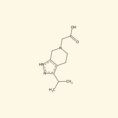 CC(C)c1n[nH]c2c1CCN(CC(=O)O)C2